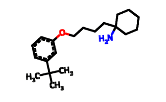 CC(C)(C)c1cccc(OCCCCC2(N)CCCCC2)c1